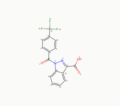 O=C(O)c1nn(C(=O)c2ccc(C(F)(F)F)cc2)c2ccccc12